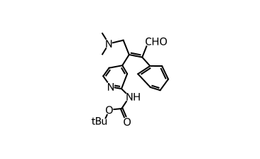 CN(C)CC(=C(C=O)c1ccccc1)c1ccnc(NC(=O)OC(C)(C)C)c1